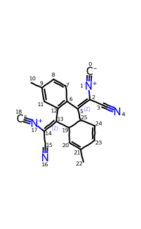 [C-]#[N+]/C(C#N)=C1\c2ccc(C)cc2/C(=C(/C#N)[N+]#[C-])C2C=C(C)C=CC12